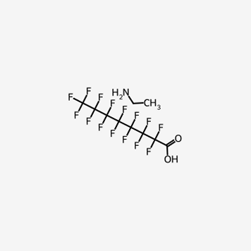 CCN.O=C(O)C(F)(F)C(F)(F)C(F)(F)C(F)(F)C(F)(F)C(F)(F)C(F)(F)F